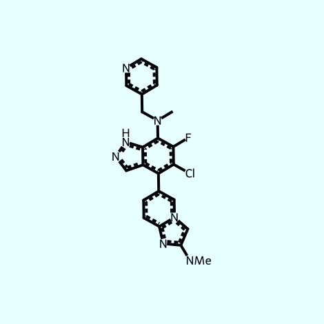 CNc1cn2cc(-c3c(Cl)c(F)c(N(C)Cc4cccnc4)c4[nH]ncc34)ccc2n1